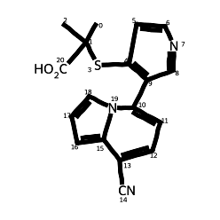 CC(C)(Sc1ccncc1-c1ccc(C#N)c2cccn12)C(=O)O